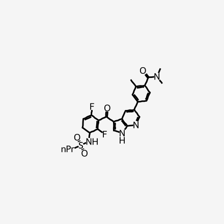 CCCS(=O)(=O)NC1CC=C(F)C(C(=O)c2c[nH]c3ncc(-c4ccc(C(=O)N(C)C)c(C)c4)cc23)=C1F